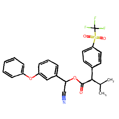 CC(C)C(C(=O)OC(C#N)c1cccc(Oc2ccccc2)c1)c1ccc(S(=O)(=O)C(F)(F)F)cc1